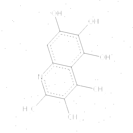 Cc1nc2cc(O)c(O)c(O)c2c(C)c1C